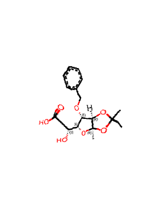 CC1(C)O[C@@H]2[C@@H](OCc3ccccc3)[C@@H]([C@H](O)C(=O)O)O[C@]2(C)O1